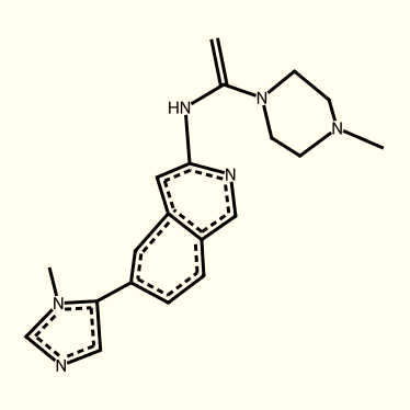 C=C(Nc1cc2cc(-c3cncn3C)ccc2cn1)N1CCN(C)CC1